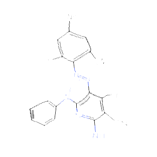 Cc1c(C#N)c(N)nc(Nc2ccccc2)c1/N=N/c1c(C#N)cc([N+](=O)[O-])cc1C(F)(F)F